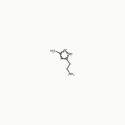 Cc1cc(CCN)[nH]n1